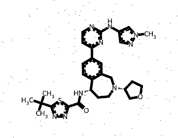 Cn1cc(Nc2nccc(-c3ccc4c(c3)CN([C@@H]3CCOC3)CC[C@@H]4NC(=O)c3nnc(C(C)(C)C)s3)n2)cn1